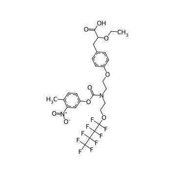 CCOC(Cc1ccc(OCCN(CCOC(F)(F)C(F)(F)C(F)(F)C(F)(F)F)C(=O)Oc2ccc(C)c([N+](=O)[O-])c2)cc1)C(=O)O